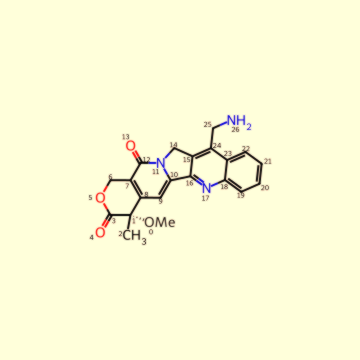 CO[C@]1(C)C(=O)OCc2c1cc1n(c2=O)Cc2c-1nc1ccccc1c2CN